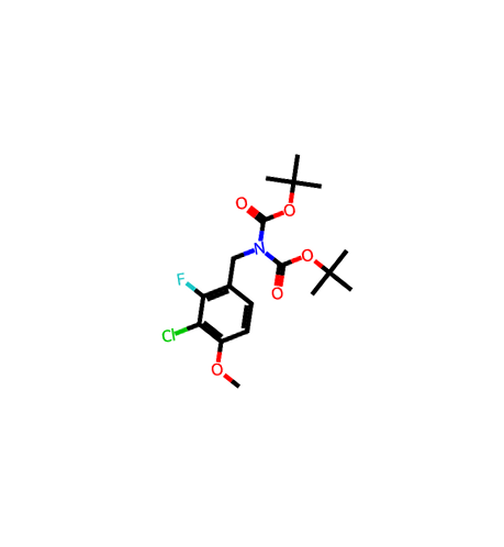 COc1ccc(CN(C(=O)OC(C)(C)C)C(=O)OC(C)(C)C)c(F)c1Cl